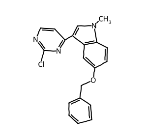 Cn1cc(-c2ccnc(Cl)n2)c2cc(OCc3ccccc3)ccc21